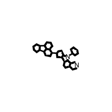 c1ccc(-n2c3ccc(-c4ccc5c6c(cccc46)-c4ccccc4-5)cc3c3ccc4ccncc4c32)cc1